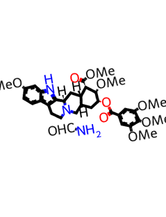 COC(=O)[C@H]1[C@H]2C[C@@H]3c4[nH]c5cc(OC)ccc5c4CCN3C[C@H]2C[C@@H](OC(=O)c2cc(OC)c(OC)c(OC)c2)[C@@H]1OC.NC=O